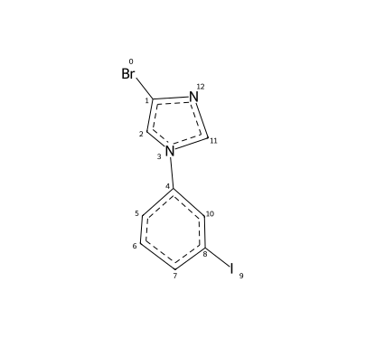 Brc1cn(-c2cccc(I)c2)cn1